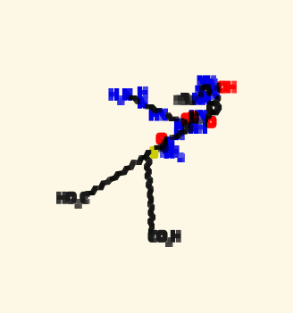 CCCCNc1nc(N)c2nc(O)n(Cc3ccc(C(=O)NCC(=O)N[C@@H](CCCCNC(=O)[C@@H](N)CSCC(CCCCCCCCCCCCCCCCC(=O)O)CCCCCCCCCCCCCCCC(=O)O)C(=O)NCCCNCCCCNCCCN)cc3)c2n1